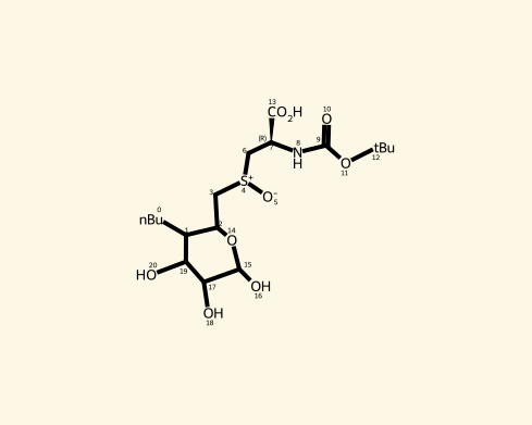 CCCCC1C(C[S+]([O-])C[C@H](NC(=O)OC(C)(C)C)C(=O)O)OC(O)C(O)C1O